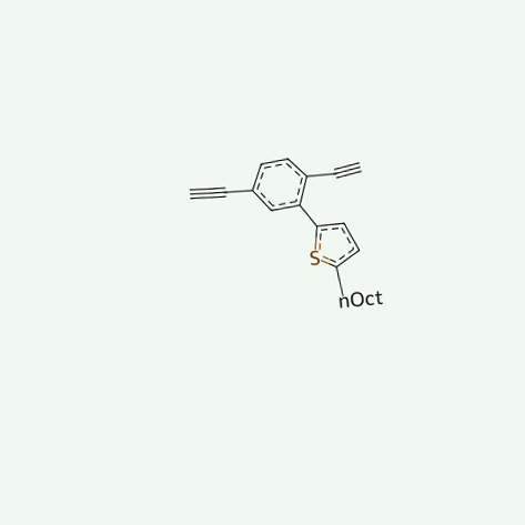 C#Cc1ccc(C#C)c(-c2ccc(CCCCCCCC)s2)c1